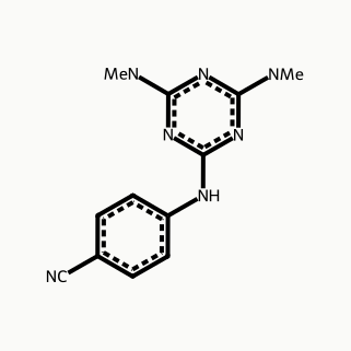 CNc1nc(NC)nc(Nc2ccc(C#N)cc2)n1